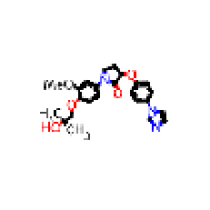 COc1cc(N2CCC(Oc3ccc(-n4ccnc4)cc3)C2=O)ccc1OCC(C)(C)O